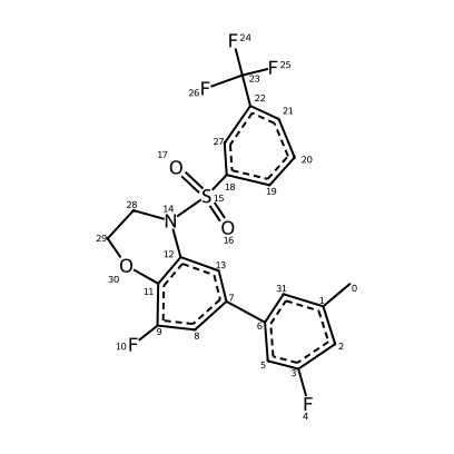 Cc1cc(F)cc(-c2cc(F)c3c(c2)N(S(=O)(=O)c2cccc(C(F)(F)F)c2)CCO3)c1